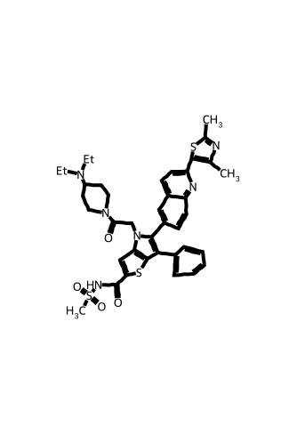 CCN(CC)C1CCN(C(=O)Cn2c(-c3ccc4nc(-c5sc(C)nc5C)ccc4c3)c(-c3ccccc3)c3sc(C(=O)NS(C)(=O)=O)cc32)CC1